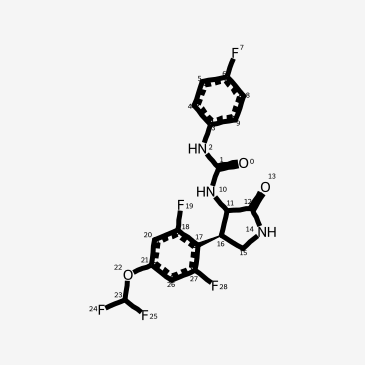 O=C(Nc1ccc(F)cc1)NC1C(=O)NC[C@H]1c1c(F)cc(OC(F)F)cc1F